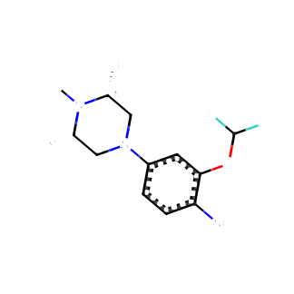 C[C@@H]1CN(c2ccc(N)c(OC(F)F)c2)C[C@H](C)N1C